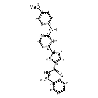 COc1ccc(Nc2nccc(-c3ccc(C(=O)N[C@@H](C)c4ccccc4)s3)n2)cc1